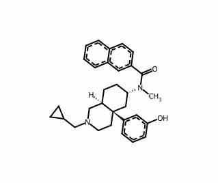 CN(C(=O)c1ccc2ccccc2c1)[C@H]1CC[C@@H]2CN(CC3CC3)CC[C@@]2(c2cccc(O)c2)C1